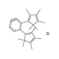 CC1=C(C)C(C)(C)C(c2c#cccc2C2=C(C)C(C)=C(C)C2(C)C)=C1C.[Zr]